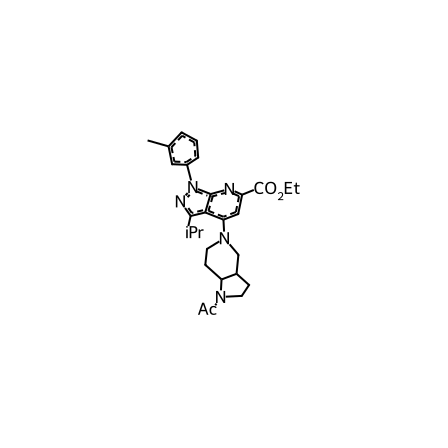 CCOC(=O)c1cc(N2CCC3C(CCN3C(C)=O)C2)c2c(C(C)C)nn(-c3cccc(C)c3)c2n1